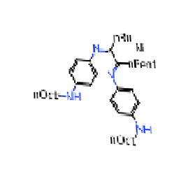 CCCCCCCCNc1ccc(N=C(CCCC)C(CCCCC)=Nc2ccc(NCCCCCCCC)cc2)cc1.[Ni]